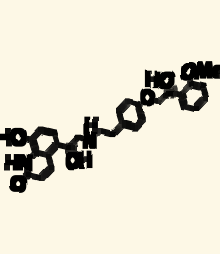 COc1ccccc1[C@@H](O)COc1ccc(CCNC[C@H](O)c2ccc(O)c3[nH]c(=O)ccc23)cc1